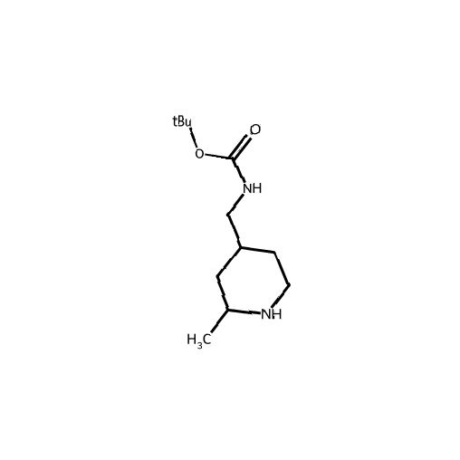 CC1CC(CNC(=O)OC(C)(C)C)CCN1